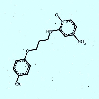 CC(C)(C)c1ccc(OCCCNc2cc([N+](=O)[O-])cc[n+]2[O-])cc1